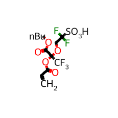 C=CC(=O)OC(OCC(F)(F)S(=O)(=O)O)(C(=O)OCCCC)C(F)(F)F